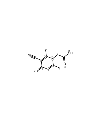 Cc1cc(=O)c(C#N)c(C)n1CC(=O)O